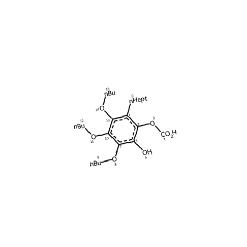 CCCCCCCc1c(OC(=O)O)c(O)c(OCCCC)c(OCCCC)c1OCCCC